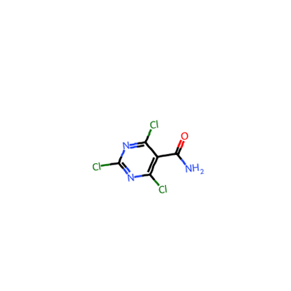 NC(=O)c1c(Cl)nc(Cl)nc1Cl